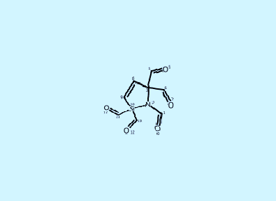 O=CN1C(C=O)(C=O)C=C[Si]1(C=O)C=O